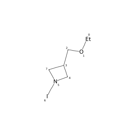 CCOCC1CN(I)C1